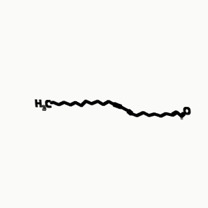 CCCCCCCCCCCCC#CC#CCCCCCCC=C[C]=O